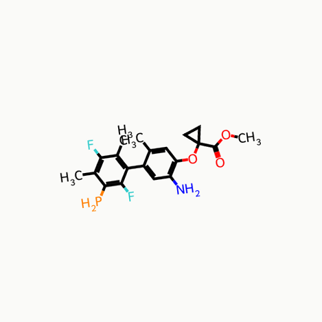 COC(=O)C1(Oc2cc(C)c(-c3c(C)c(F)c(C)c(P)c3F)cc2N)CC1